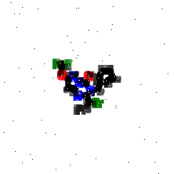 CC(C)C(Br)c1nc2cc(OC(F)F)nn2c(=O)n1Cc1ccccc1